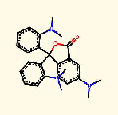 CN(C)c1ccc2c(c1)C(=O)OC2(c1ccccc1N(C)C)c1ccccc1N(C)C